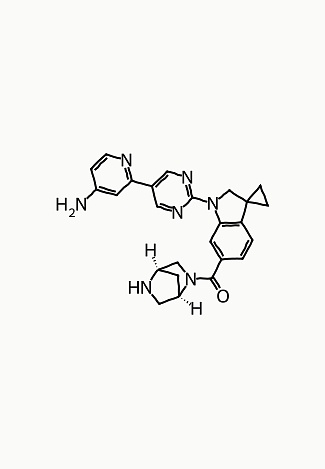 Nc1ccnc(-c2cnc(N3CC4(CC4)c4ccc(C(=O)N5C[C@H]6C[C@@H]5CN6)cc43)nc2)c1